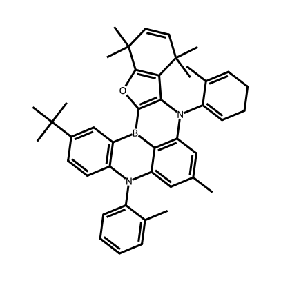 CC1=CCCC=C1N1c2cc(C)cc3c2B(c2cc(C(C)(C)C)ccc2N3c2ccccc2C)c2oc3c(c21)C(C)(C)C=CC3(C)C